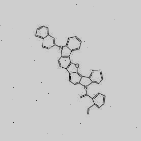 C=Cc1ccccc1C(=C)n1c2ccccc2c2c3oc4c(ccc5c4c4ccccc4n5-c4ccc5ccccc5c4)c3ccc21